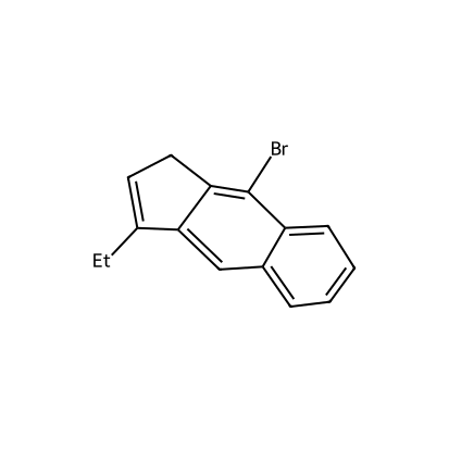 CCC1=CCc2c1cc1ccccc1c2Br